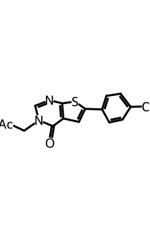 CC(=O)Cn1cnc2sc(-c3ccc(Cl)cc3)cc2c1=O